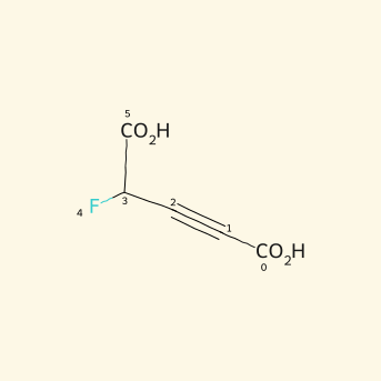 O=C(O)C#CC(F)C(=O)O